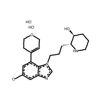 Cl.Cl.O[C@H]1CCCN[C@@H]1CCCn1cnc2cc(Cl)cc(C3=CCOCC3)c21